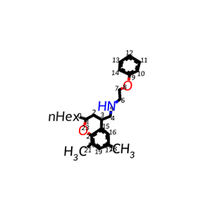 CCCCCCC1CC(CNCCOc2ccccc2)c2cc(C)cc(C)c2O1